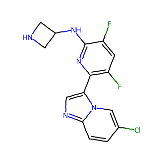 Fc1cc(F)c(-c2cnc3ccc(Cl)cn23)nc1NC1CNC1